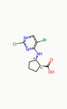 O=C(O)[C@H]1CCC[C@H]1Nc1nc(Cl)ncc1Br